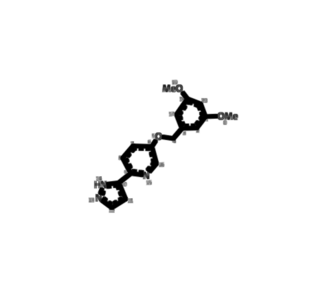 COc1cc(COc2ccc(-c3ccn[nH]3)nc2)cc(OC)c1